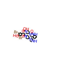 O=C(C(Cc1cc(Br)c(O)c(Br)c1)[C@H]1CC(N2CCc3ccccc3NC2=O)CCN1C(=O)O)N1CCC(N2CCNCC2)CC1